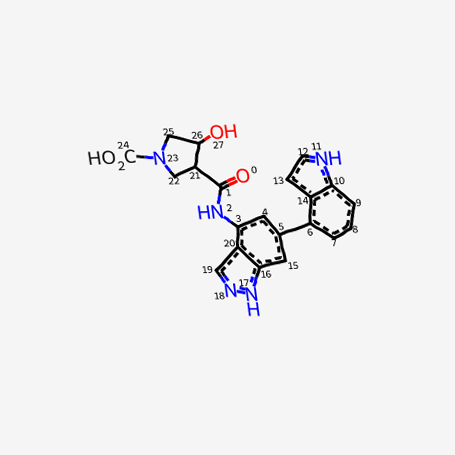 O=C(Nc1cc(-c2cccc3[nH]ccc23)cc2[nH]ncc12)C1CN(C(=O)O)CC1O